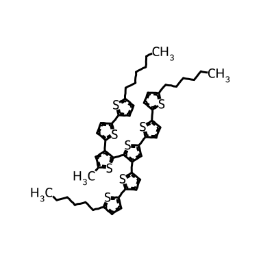 CCCCCCc1ccc(-c2ccc(-c3cc(-c4ccc(-c5ccc(CCCCCC)s5)s4)c(-c4sc(C)cc4-c4ccc(-c5ccc(CCCCCC)s5)s4)s3)s2)s1